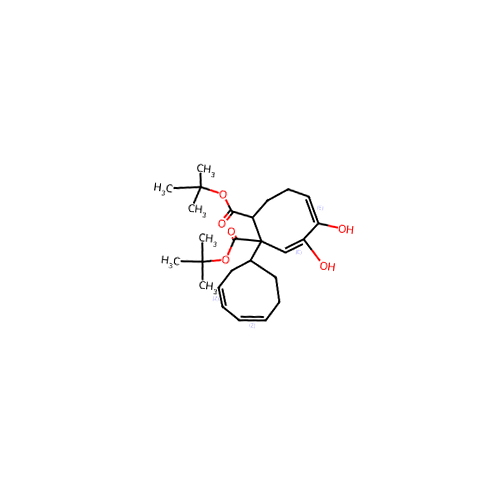 CC(C)(C)OC(=O)C1CC/C=C(O)\C(O)=C/C1(C(=O)OC(C)(C)C)C1C/C=C\C=C/CC1